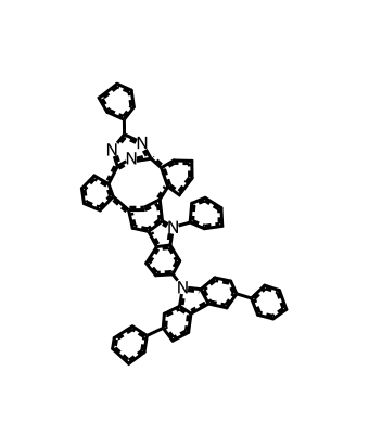 c1ccc(-c2ccc3c(c2)c2ccc(-c4ccccc4)cc2n3-c2ccc3c4cc5cc(c6ccccc6c6nc(-c7ccccc7)nc(n6)c6ccccc56)c4n(-c4ccccc4)c3c2)cc1